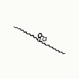 CCCCCCCCCCCCCCCCOCCCCCCCCCCCCCCCC.ClCc1ccccc1